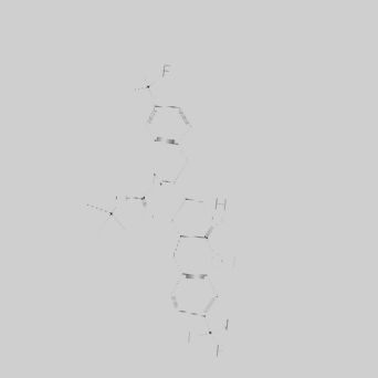 CC(C)(C)OC(=O)NC(Cc1ccc(C(F)(F)F)cc1)C(O)CC(Cc1ccc(C(F)(F)F)cc1)C(=O)O